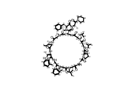 CC[C@H](C)[C@@H]1NC(=O)[C@H](C)N(C)C(=O)C[C@@H](C(=O)N(C)[C@@H](Cc2ccccc2)C(=O)N[C@@H](C)C(=O)N2CCCCC2)NC(=O)[C@H](CC(C)C)N(C)C(=O)[C@H](CC(C)C)NC(=O)[C@@H]2CCCN2C(=O)CNC(=O)[C@H](CC(C)C)N(C)C(=O)[C@H](Cc2ccccc2)N(C)C(=O)[C@H](Cc2ccccc2)NC(=O)[C@H]([C@@H](C)O)NC1=O